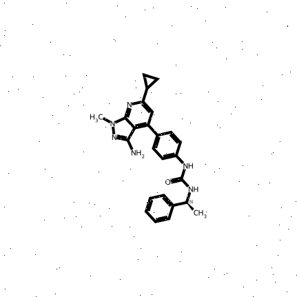 C[C@H](NC(=O)Nc1ccc(-c2cc(C3CC3)nc3c2c(N)nn3C)cc1)c1ccccc1